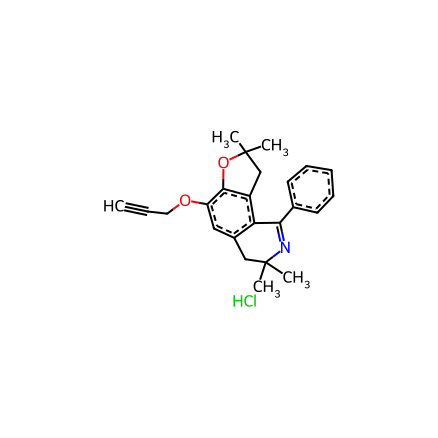 C#CCOc1cc2c(c3c1OC(C)(C)C3)C(c1ccccc1)=NC(C)(C)C2.Cl